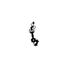 CCOC(=O)Cc1ncc(C#Cc2ccc3c(c2)C(C)(C)CC(C)(C)S3)cn1